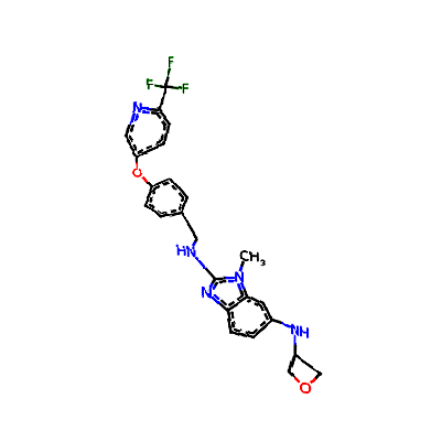 Cn1c(NCc2ccc(Oc3ccc(C(F)(F)F)nc3)cc2)nc2ccc(NC3COC3)cc21